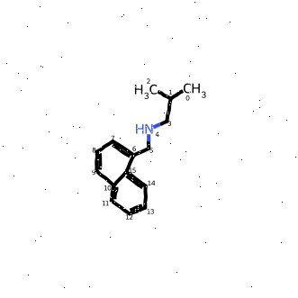 CC(C)CNCc1cccc2ccccc12